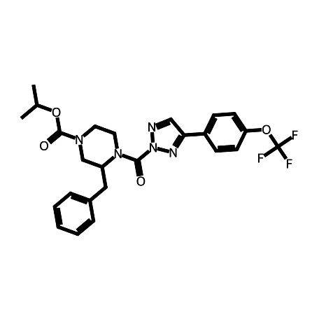 CC(C)OC(=O)N1CCN(C(=O)n2ncc(-c3ccc(OC(F)(F)F)cc3)n2)C(Cc2ccccc2)C1